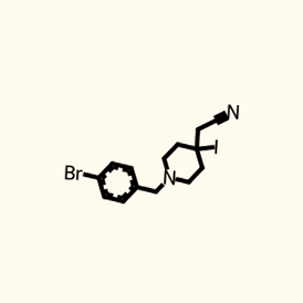 N#CCC1(I)CCN(Cc2ccc(Br)cc2)CC1